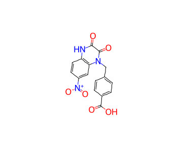 O=C(O)c1ccc(Cn2c(=O)c(=O)[nH]c3ccc([N+](=O)[O-])cc32)cc1